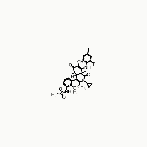 CC1=C(Nc2ccc(I)cc2F)[C@@H]2C(=O)N(C3CC3)C(C)=C(c3cccc(NS(C)(=O)=O)c3C)[C@@H]2OC1=O